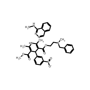 COC(=O)C1=C(C)NC(C)=C(C(=O)OCCN(C)Cc2ccccc2)C1c1cccc([N+](=O)[O-])c1.NNc1nncc2ccccc12